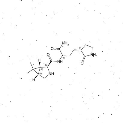 CC1(C)[C@@H]2[C@@H](C(=O)N[C@@H](CC[C@@H]3CCNC3=O)C(N)=O)NC[C@@H]21